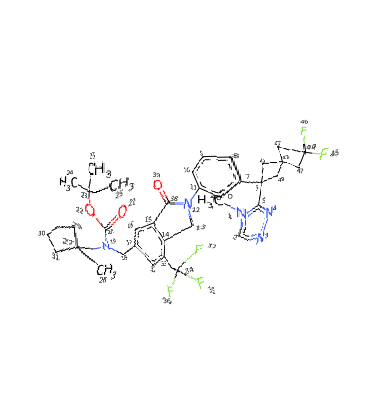 Cn1cnnc1C1(c2cccc(N3Cc4c(cc(CN(C(=O)OC(C)(C)C)C5(C)CCC5)cc4C(F)(F)F)C3=O)c2)CC2(CC(F)(F)C2)C1